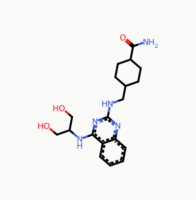 NC(=O)C1CCC(CNc2nc(NC(CO)CO)c3ccccc3n2)CC1